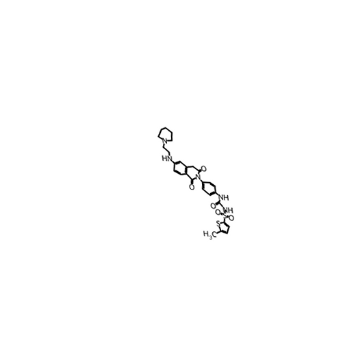 Cc1ccc(S(=O)(=O)NC(=O)Nc2ccc(N3C(=O)Cc4cc(NCCN5CCCCC5)ccc4C3=O)cc2)s1